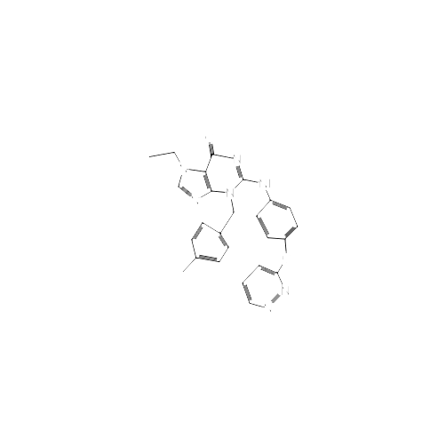 CCn1cnc2c1c(=O)nc(Nc1ccc(Oc3cccnn3)cc1)n2Cc1ccc(C)cc1